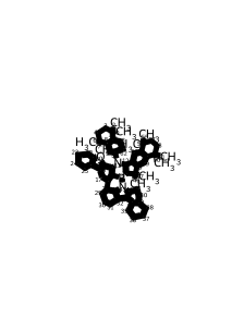 CC1(C)CCC(C)(C)c2cc(N3C4=C(B5c6c(cc7c(oc8ccccc87)c63)-c3cccc6c7c8ccccc8ccc7n5c36)C(C)(C)c3cc5c(cc34)C(C)(C)CCC5(C)C)ccc21